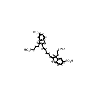 COCCC1(C)\C(=C/C=C/C=C/C2=Nc3ccc(S(=O)(=O)O)cc3C2(C)CCCS(=O)(=O)O)Nc2ccc(S(=O)(=O)O)cc21